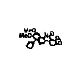 COc1cc2c(ccc3c4ccc5c(c4c(=O)n(C)c23)OCO5)c(-c2ccccc2)c1OC